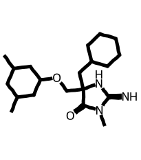 CC1CC(C)CC(OCC2(CC3CCCCC3)NC(=N)N(C)C2=O)C1